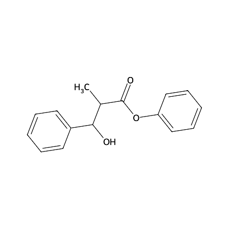 CC(C(=O)Oc1ccccc1)C(O)c1ccccc1